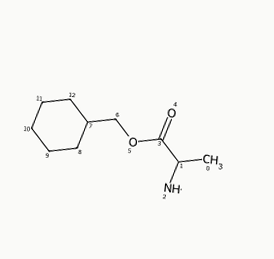 CC([NH])C(=O)OCC1CCCCC1